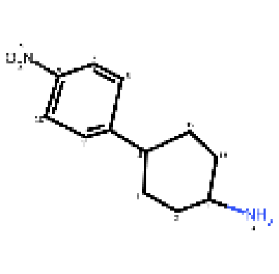 NC1CCC(c2ccc([N+](=O)[O-])cc2)CC1